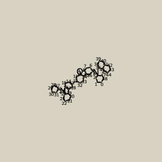 c1ccc(N(c2ccc3oc4cc(-c5ccc6c(c5)c5ccccc5n6-c5ccccc5)ccc4c3c2)c2cccc3ccccc23)cc1